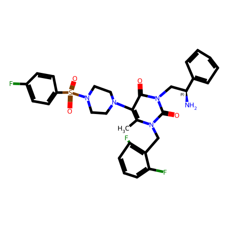 Cc1c(N2CCN(S(=O)(=O)c3ccc(F)cc3)CC2)c(=O)n(C[C@H](N)c2ccccc2)c(=O)n1Cc1c(F)cccc1F